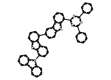 c1ccc(-c2nc(-c3ccccc3)nc(-c3cccc4c3sc3ccc(-c5cccc6sc7c(-n8c9ccccc9c9ccccc98)cccc7c56)cc34)n2)cc1